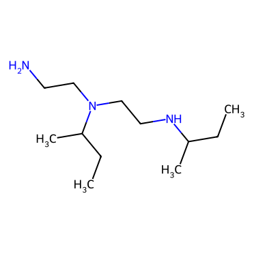 CCC(C)NCCN(CCN)C(C)CC